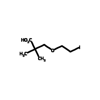 CC(C)(COCCI)C(=O)O